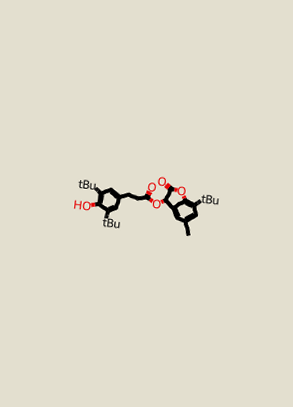 Cc1cc2c(c(C(C)(C)C)c1)OC(=O)C2OC(=O)CCc1cc(C(C)(C)C)c(O)c(C(C)(C)C)c1